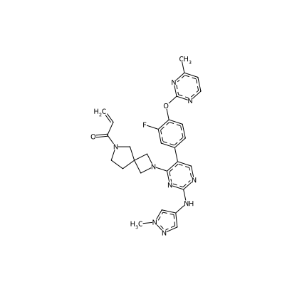 C=CC(=O)N1CCC2(C1)CN(c1nc(Nc3cnn(C)c3)ncc1-c1ccc(Oc3nccc(C)n3)c(F)c1)C2